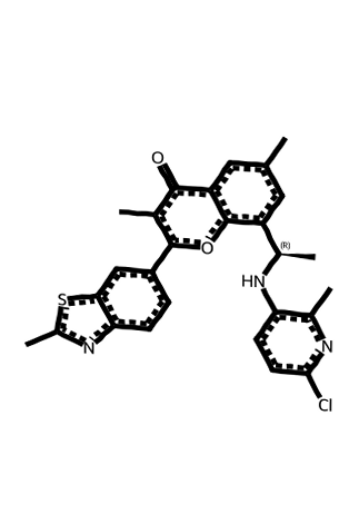 Cc1cc([C@@H](C)Nc2ccc(Cl)nc2C)c2oc(-c3ccc4nc(C)sc4c3)c(C)c(=O)c2c1